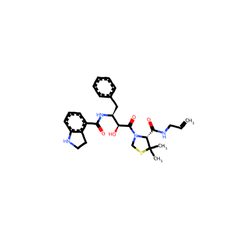 C=CCNC(=O)[C@H]1N(C(=O)[C@@H](O)[C@H](Cc2ccccc2)NC(=O)c2cccc3c2CCN3)CSC1(C)C